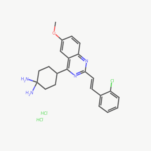 COc1ccc2nc(C=Cc3ccccc3Cl)nc(C3CCC(N)(N)CC3)c2c1.Cl.Cl